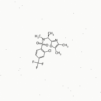 Cc1nc([C@H](C)N(C)S(=O)(=O)c2ccc(C(F)(F)F)cc2Cl)oc1C